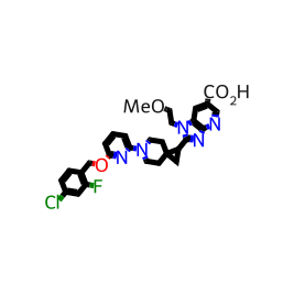 COCCn1c(C2CC23CCN(c2cccc(OCc4ccc(Cl)cc4F)n2)CC3)nc2ncc(C(=O)O)cc21